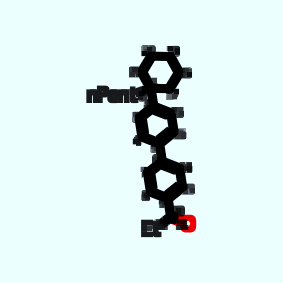 CCCCCC1(c2ccc(-c3ccc(C(=O)CC)cc3)cc2)CCCCC1